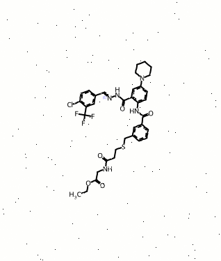 CCOC(=O)CNC(=O)CCSCc1cccc(C(=O)Nc2ccc(N3CCCCC3)cc2C(=O)N/N=C/c2ccc(Cl)c(C(F)(F)F)c2)c1